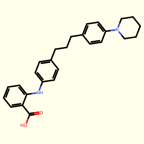 O=C(O)c1ccccc1Nc1ccc(CCCc2ccc(N3CCCCC3)cc2)cc1